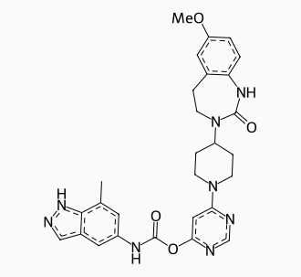 COc1ccc2c(c1)CCN(C1CCN(c3cc(OC(=O)Nc4cc(C)c5[nH]ncc5c4)ncn3)CC1)C(=O)N2